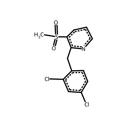 CS(=O)(=O)c1cccnc1Cc1ccc(Cl)cc1Cl